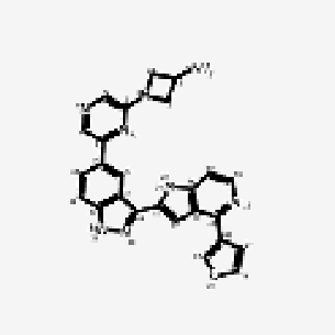 NC1CN(c2cncc(-c3ccc4[nH]nc(-c5cc6c(-c7ccoc7)nccc6[nH]5)c4c3)n2)C1